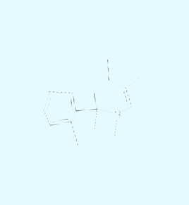 CC1=CN(C)C(C)(c2ccccc2C)C=C1C